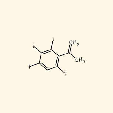 C=C(C)c1c(I)cc(I)c(I)c1I